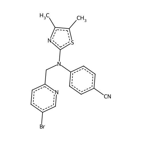 Cc1nc(N(Cc2ccc(Br)cn2)c2ccc(C#N)cc2)sc1C